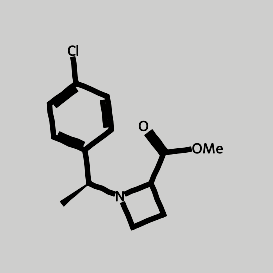 COC(=O)C1CCN1[C@@H](C)c1ccc(Cl)cc1